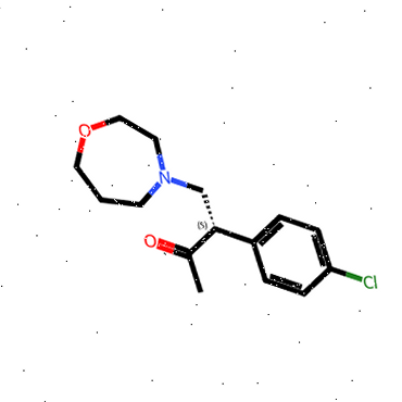 CC(=O)[C@H](CN1CCCOCC1)c1ccc(Cl)cc1